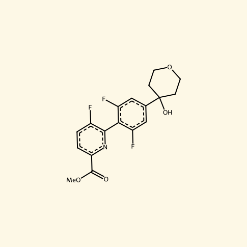 COC(=O)c1ccc(F)c(-c2c(F)cc(C3(O)CCOCC3)cc2F)n1